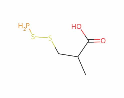 CC(CSSP)C(=O)O